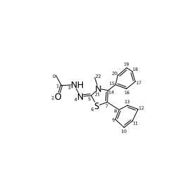 CC(=O)NN=c1sc(-c2ccccc2)c(-c2ccccc2)n1C